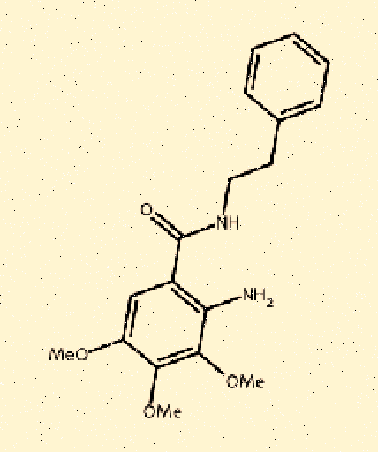 COc1cc(C(=O)NCCc2ccccc2)c(N)c(OC)c1OC